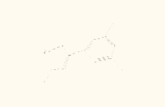 Cc1cc(C)cc(/C(=C/CBr)CBr)c1